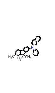 Cc1ccc2c(c1)C(C)(C)c1cc(N(c3ccccc3)c3ccc4ccccc4c3)ccc1-2